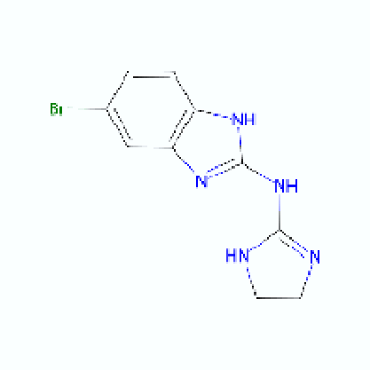 Brc1ccc2[nH]c(NC3=NCCN3)nc2c1